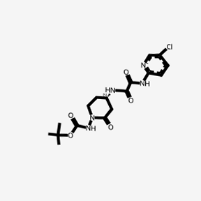 CC(C)(C)OC(=O)NN1CC[C@H](NC(=O)C(=O)Nc2ccc(Cl)cn2)CC1=O